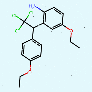 CCOc1ccc(C(c2cc(OCC)ccc2N)C(Cl)(Cl)Cl)cc1